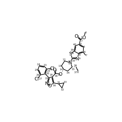 COC(=O)c1cc(C)c2nc(N3CC[C@@H](OC(=O)c4c(-c5c(Cl)cccc5Cl)noc4C4CC4)C[C@H]3CI)sc2c1